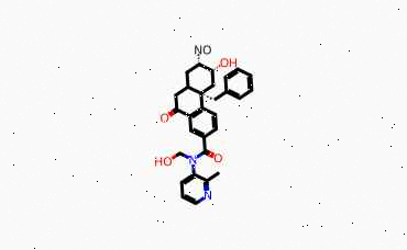 Cc1ncccc1N(CO)C(=O)c1ccc2c(c1)C(=O)CC1C[C@H](N=O)[C@H](O)C[C@@]21Cc1ccccc1